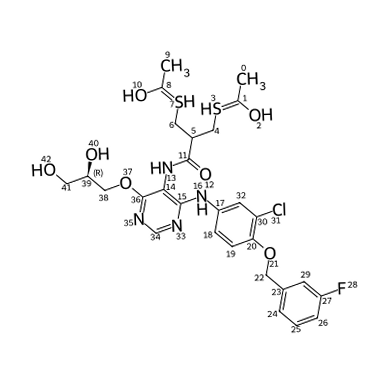 CC(O)=[SH]CC(C[SH]=C(C)O)C(=O)Nc1c(Nc2ccc(OCc3cccc(F)c3)c(Cl)c2)ncnc1OC[C@H](O)CO